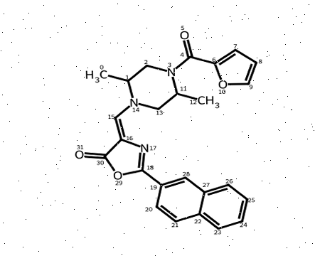 CC1CN(C(=O)c2ccco2)C(C)CN1C=C1N=C(c2ccc3ccccc3c2)OC1=O